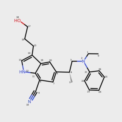 CCN(C[C@H](C)c1cc(C#N)c2[nH]cc(CCCO)c2c1)c1ccccc1